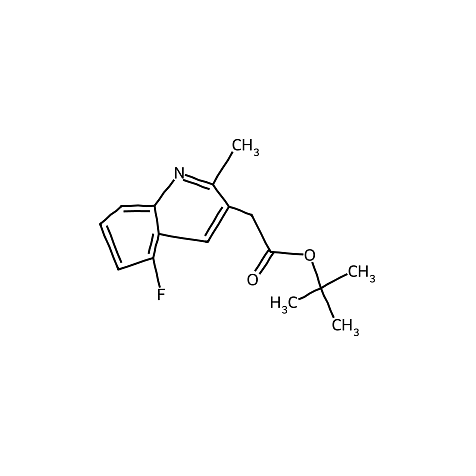 Cc1nc2cccc(F)c2cc1CC(=O)OC(C)(C)C